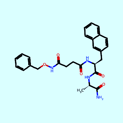 C[C@H](NC(=O)[C@H](Cc1ccc2ccccc2c1)NC(=O)CCC(=O)NOCc1ccccc1)C(N)=O